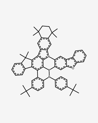 CC(C)(C)c1ccc(N2B3c4cc5oc6ccccc6c5cc4-n4c5cc6c(cc5c5c7c(c(c3c54)-c3cc(C(C)(C)C)ccc32)-c2ccccc2C7(C)C)C(C)(C)CCC6(C)C)cc1